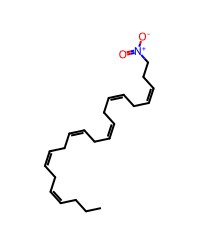 CCC/C=C\C/C=C\C/C=C\C/C=C\C/C=C\C/C=C\CC[N+](=O)[O-]